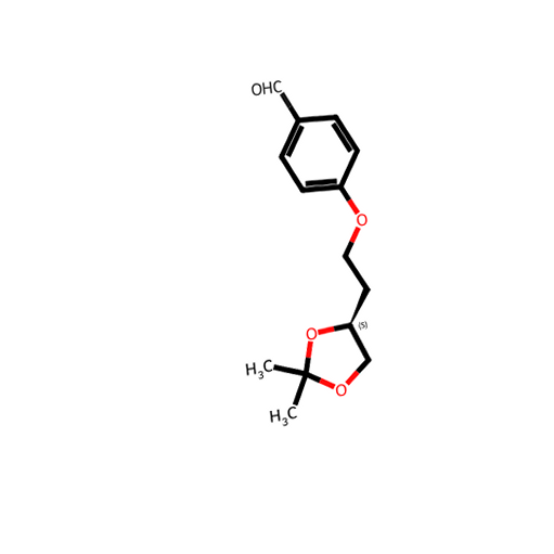 CC1(C)OC[C@H](CCOc2ccc(C=O)cc2)O1